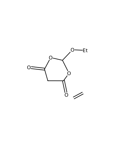 C=C.CCOC1OC(=O)CC(=O)O1